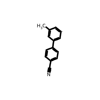 Cc1c[c]cc(-c2ccc(C#N)cc2)c1